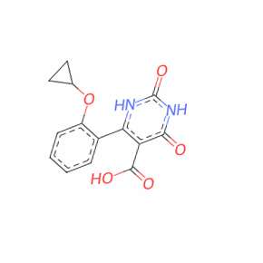 O=C(O)c1c(-c2ccccc2OC2CC2)[nH]c(=O)[nH]c1=O